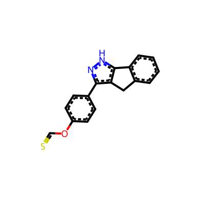 S=COc1ccc(-c2n[nH]c3c2Cc2ccccc2-3)cc1